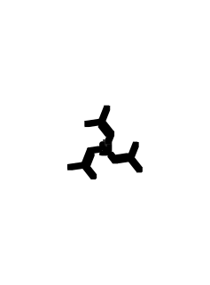 CC(C)=C[Si](C=C(C)C)C=C(C)C